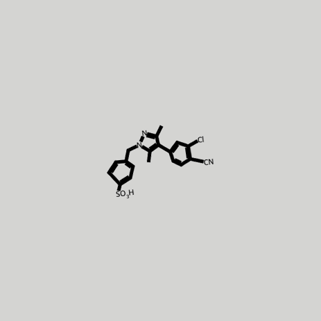 Cc1nn(Cc2ccc(S(=O)(=O)O)cc2)c(C)c1-c1ccc(C#N)c(Cl)c1